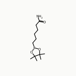 CC1(C)OB(CCCCCC(N)=O)OC1(C)C